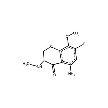 CNC1CSc2c(OC)c(F)cc(N)c2C1=O